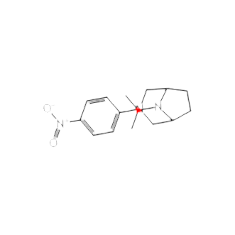 CC(C)N1C2CCC1CN(c1ccc([N+](=O)[O-])cc1)C2